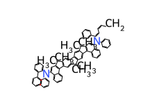 C=C/C=C\C=C(/c1ccccc1)N(c1ccccc1)c1cc2c(c3ccccc13)-c1cc3c(cc1C2(C)C)-c1cc2c(cc1C3(C)C)-c1c(cc(N(c3ccccc3)c3ccccc3-c3ccccc3)c3ccccc13)C2(C)C